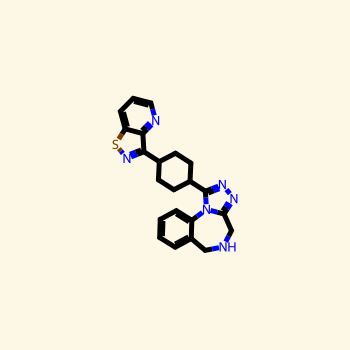 c1ccc2c(c1)CNCc1nnc(C3CCC(c4nsc5cccnc45)CC3)n1-2